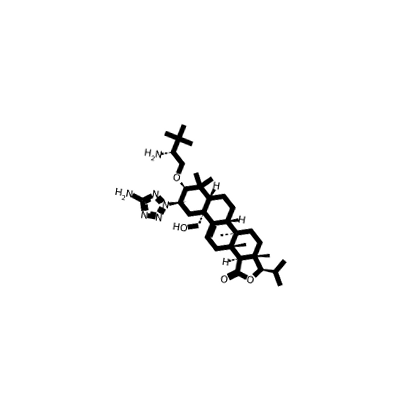 CC(C)[C@H]1OC(=O)[C@@H]2[C@]1(C)CC[C@]1(C)[C@H]3CC[C@H]4C(C)(C)[C@@H](OC[C@H](N)C(C)(C)C)[C@H](n5nnc(N)n5)C[C@]4(CO)C3=CC[C@@]21C